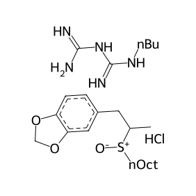 CCCCCCCC[S+]([O-])C(C)Cc1ccc2c(c1)OCO2.CCCCNC(=N)NC(=N)N.Cl